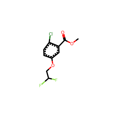 COC(=O)c1cc(OCC(F)F)ccc1Cl